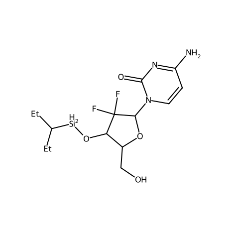 CCC(CC)[SiH2]OC1C(CO)OC(n2ccc(N)nc2=O)C1(F)F